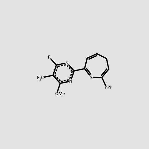 CCCC1=CCC=CC(c2nc(F)c(C(F)(F)F)c(OC)n2)=N1